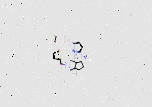 CN(c1ccc(Br)nn1)[C@@H]1CC[C@H]2CN(C(=O)c3ccc(OCCF)s3)C[C@H]21